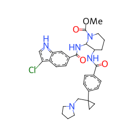 COC(=O)N1CCCC(NC(=O)c2ccc(C3(CN4CCCC4)CC3)cc2)C1NC(=O)c1ccc2c(Cl)c[nH]c2c1